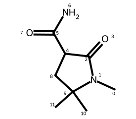 CN1C(=O)C(C(N)=O)CC1(C)C